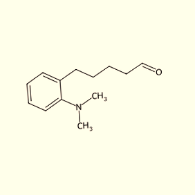 CN(C)c1ccccc1CCCCC=O